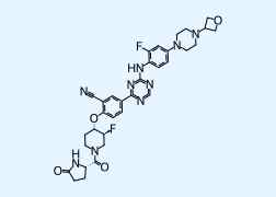 N#Cc1cc(-c2ncnc(Nc3ccc(N4CCN(C5COC5)CC4)cc3F)n2)ccc1O[C@H]1CCN(C(=O)[C@@H]2CCC(=O)N2)C[C@@H]1F